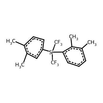 Cc1ccc([Si](c2cccc(C)c2C)(C(F)(F)F)C(F)(F)F)cc1C